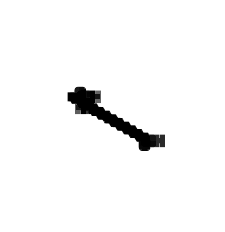 CCC[C@H](CC(=O)NCCCCCCCCCCCCCCCCCC(=O)O)C(=O)O